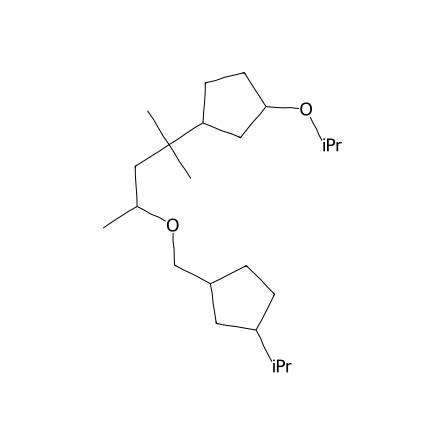 CC(C)OC1CCC(C(C)(C)CC(C)OCC2CCC(C(C)C)C2)C1